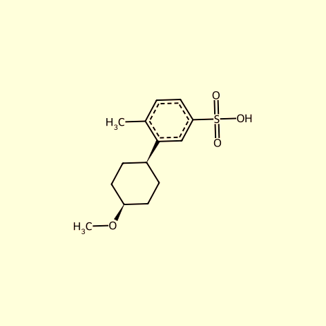 CO[C@H]1CC[C@@H](c2cc(S(=O)(=O)O)ccc2C)CC1